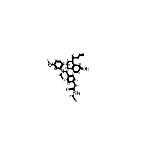 C=CCC(C)C1C[C@@H](c2ccc(OC)cc2N(CC)Cc2ccc(CC(=O)NCC)cc2)Cc2ccc(O)cc21